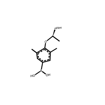 CCCCCC[C@@H](C)Oc1c(C)cc(B(O)O)cc1C